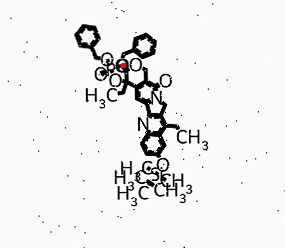 CCc1c2c(nc3ccc(O[Si](C)(C)C(C)(C)C)cc13)-c1cc3c(c(=O)n1C2)COC(=O)C3(CC)OP(=O)(OCc1ccccc1)OCc1ccccc1